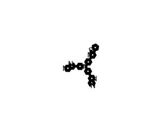 c1ccc2c(c1)sc1nc(-c3ccc(N(c4ccc(-c5cnc6cnccc6c5)cc4)c4ccc(-c5cnc6cnccc6c5)cc4)cc3)ccc12